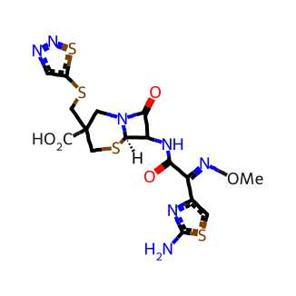 CON=C(C(=O)NC1C(=O)N2CC(CSc3cnns3)(C(=O)O)CS[C@H]12)c1csc(N)n1